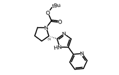 CC(C)(C)OC(=O)N1CCC[C@H]1c1ncc(-c2ccccn2)[nH]1